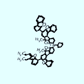 C=C/C=c1/oc2c(-c3cc4c(c5c3oc3ccccc35)-c3ccc(N(c5ccccc5)c5ccc6c(c5)C(C)(C)c5cc(-c7cccc8c7oc7ccccc78)c7oc8ccccc8c7c5-6)cc3C4(C)C)cccc2/c1=C/C